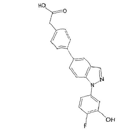 O=C(O)Cc1ccc(-c2ccc3c(cnn3-c3ccc(F)c(O)c3)c2)cc1